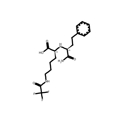 NC(=O)[C@H](CCc1ccccc1)N[C@@H](CCCCNC(=O)C(F)(F)F)C(=O)O